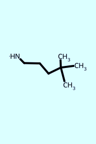 CC(C)(C)CCC[NH]